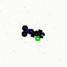 C/C=C1\C(=C(/C)Cl)c2cc3c(cc2C1(C)C)-c1ccc(-n2c4ccccc4c4ccccc42)cc1C3(C)C